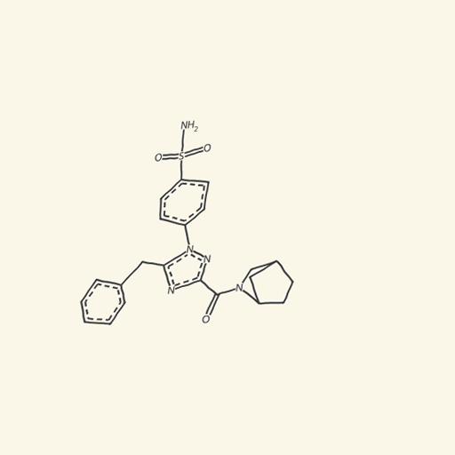 NS(=O)(=O)c1ccc(-n2nc(C(=O)N3CC4CCC3C4)nc2Cc2ccccc2)cc1